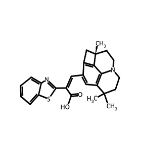 CC1(C)CCN2CC[C@@]3(C)Cc4c(/C=C(\C(=O)O)c5nc6ccccc6s5)cc1c2c43